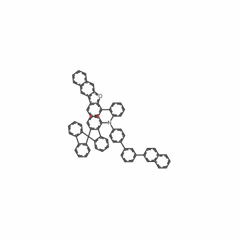 c1cc(-c2ccc(N(c3ccccc3-c3cccc4c3oc3cc5ccccc5cc34)c3cccc4c3-c3ccccc3C43c4ccccc4-c4ccccc43)cc2)cc(-c2ccc3ccccc3c2)c1